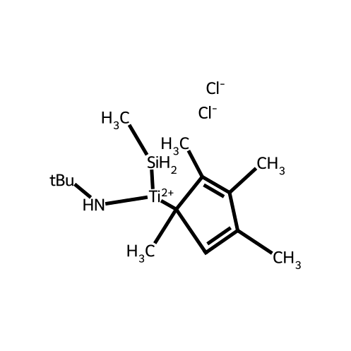 C[SiH2][Ti+2]([NH]C(C)(C)C)[C]1(C)C=C(C)C(C)=C1C.[Cl-].[Cl-]